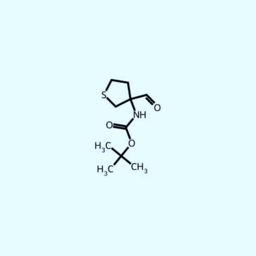 CC(C)(C)OC(=O)NC1(C=O)CCSC1